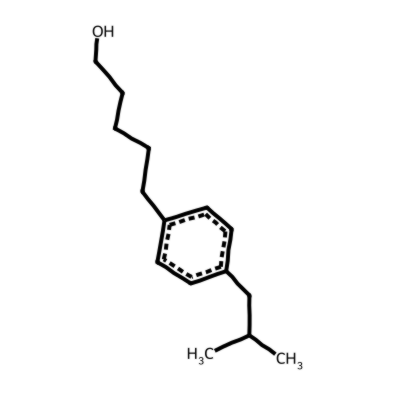 CC(C)Cc1ccc(CCCCCO)cc1